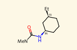 CC[C@H]1CCC[C@@H](NC(=O)NC)C1